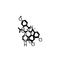 COc1ccc(C2=N[C@@](C)(c3ccc(Cl)cc3)[C@@H](c3ccc(Cl)cc3)N2C(=O)N2CCNC(=O)C2)c(OC(C)C)c1